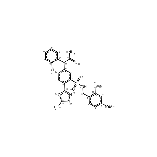 COc1ccc(CNS(=O)(=O)c2cc(C(C(N)=O)c3ccccc3Cl)ccc2-c2nnc(C)o2)c(OC)c1